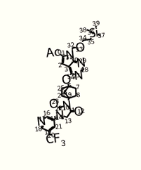 CC(=O)c1cc2c(OC34CCC(N5C(=O)CN(c6cncc(C(F)(F)F)c6)C5=O)(CC3)C4)ncnc2n1COCC[Si](C)(C)C